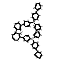 C1=CCC(c2ccc(N(c3ccccc3)c3ccc(-c4ccccc4)cc3)cc2)=c2oc3c(-c4ccc(N(c5ccccc5)c5ccc(-c6ccccc6)cc5)cc4)cccc3c2=C1